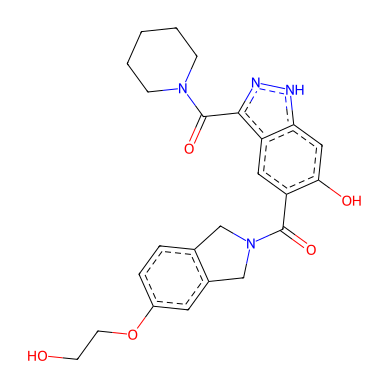 O=C(c1cc2c(C(=O)N3CCCCC3)n[nH]c2cc1O)N1Cc2ccc(OCCO)cc2C1